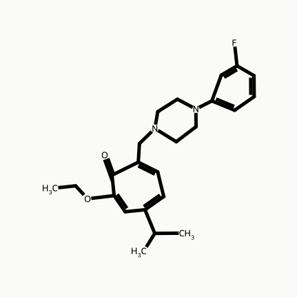 CCOc1cc(C(C)C)ccc(CN2CCN(c3cccc(F)c3)CC2)c1=O